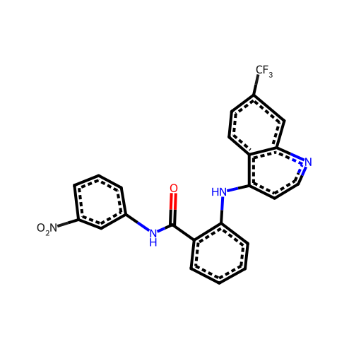 O=C(Nc1cccc([N+](=O)[O-])c1)c1ccccc1Nc1ccnc2cc(C(F)(F)F)ccc12